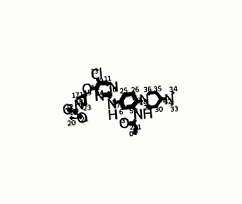 C=CC(=O)Nc1cc(Nc2ncc(Cl)c(OC3CN(S(C)(=O)=O)C3)n2)ccc1N1CCC(N(C)C)CC1